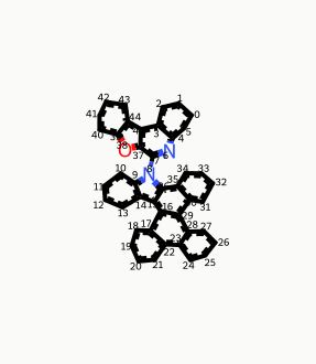 c1ccc2c(c1)nc(-n1c3ccccc3c3c4c5ccccc5c5ccccc5c4c4ccccc4c31)c1oc3ccccc3c12